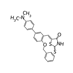 CN(C)c1ccc(-c2ccc(OCc3ccccc3)c(/C=C3\SC(=S)NC3=O)c2)cc1